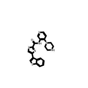 O=C(Nc1cnccc1N1CCNCC1)c1nc(-c2csc3ccccc23)cs1